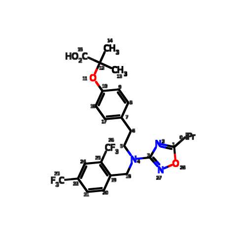 CC(C)c1nc(N(CCc2ccc(OC(C)(C)C(=O)O)cc2)Cc2ccc(C(F)(F)F)cc2C(F)(F)F)no1